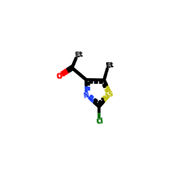 CCC(=O)c1nc(Cl)sc1CC